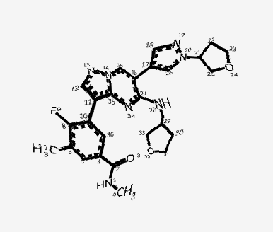 CNC(=O)c1cc(C)c(F)c(-c2cnn3cc(-c4cnn(C5CCOC5)c4)c(NC4CCOC4)nc23)c1